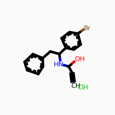 C#CC(O)NC(Cc1ccccc1)c1ccc(Br)cc1.Cl